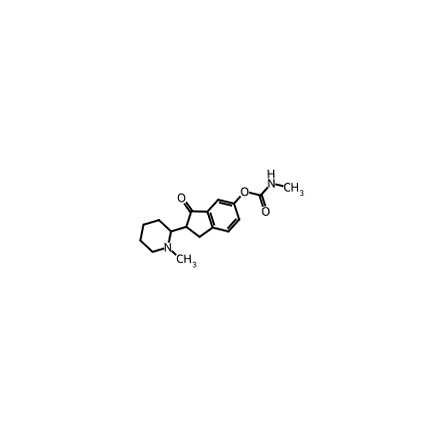 CNC(=O)Oc1ccc2c(c1)C(=O)C(C1CCCCN1C)C2